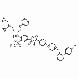 O=C(NS(=O)(=O)c1ccc(N[C@H](CCN(CC2CC2)C2CC2)CSc2ccccc2)c(S(=O)(=O)C(F)(F)F)c1)c1ccc(N2CCN(CC3=C(c4ccc(Cl)cc4)CCCC3)CC2)cc1